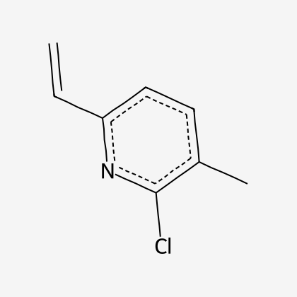 C=Cc1ccc(C)c(Cl)n1